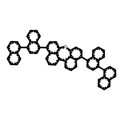 c1ccc2c(-c3ccc(-c4ccc5oc6ccc(-c7ccc(-c8cccc9ccccc89)c8ccccc78)c7cccc(c8cccc4c58)c67)c4ccccc34)cccc2c1